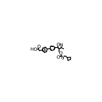 Cc1noc(-c2ccc(C34CCC(CC(=O)O)(CC3)OC4)cc2)c1COC(=O)N(C)CC1CCC1